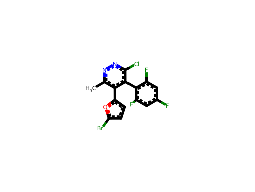 Cc1nnc(Cl)c(-c2c(F)cc(F)cc2F)c1-c1ccc(Br)o1